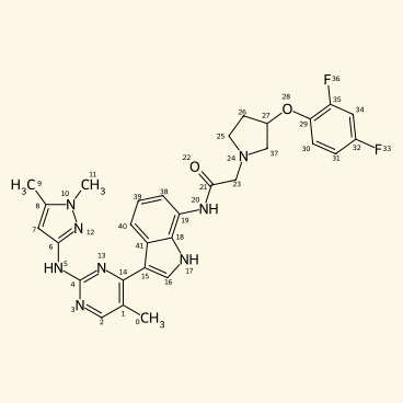 Cc1cnc(Nc2cc(C)n(C)n2)nc1-c1c[nH]c2c(NC(=O)CN3CCC(Oc4ccc(F)cc4F)C3)cccc12